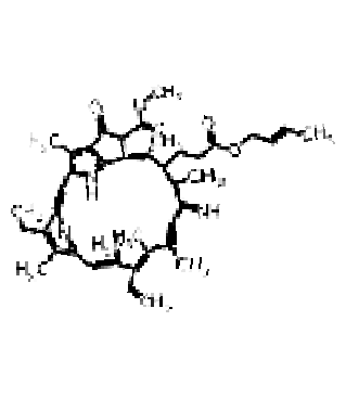 C=CC1=C(C)\C(C)=C\C(=N)C(C)C(CCC(=O)OCC=CC)/C(C)=C2/c3[nH]c(c(C)c3C(=O)C2C(=O)OC)/C=C2N=C(\C=C\1N)C(C)=C\2CC